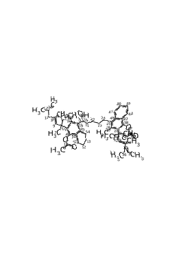 CC(=O)Oc1c(C(C)(C)/C=C(\C)CC(C)C)c(C)c(C(O)CCCCc2c(C)c(C(C)(C)/C=C(\C)N(C)C)c(OC(C)=O)c3ccccc23)c2c1=CCCC=2